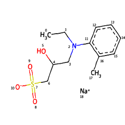 CCN(CC(O)CS(=O)(=O)[O-])c1ccccc1C.[Na+]